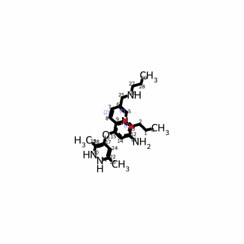 CCC\C=N/C=C(\C=C/c1ccc(N)cc1OC1=C(C)NNC(C)=C1)CNCCC